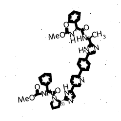 COC(=O)N[C@@H](C(=O)N[C@@H](C)c1ncc(-c2ccc(-c3ccc(-c4cnc([C@@H]5CCCN5C(=O)[C@H](NC(=O)OC)c5ccccc5)[nH]4)cn3)cc2)[nH]1)c1ccccc1